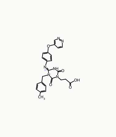 Cc1ccc(Cn2c(=O)n(CCC(=O)O)c(=O)[nH]/c2=N\c2ccc(Oc3ccnnc3)cc2)cc1